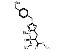 CCOP(=O)(OCC)C(Cc1nc(Cc2ccc(CC(C)(C)C)cc2)no1)C(=O)OC(C)(C)C